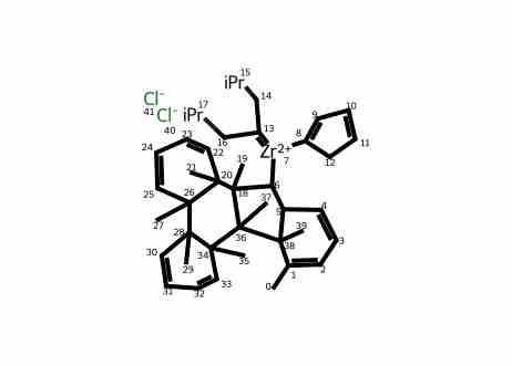 CC1=CC=CC2[CH]([Zr+2]([C]3=CC=CC3)=[C](CC(C)C)CC(C)C)C3(C)C4(C)C=CC=CC4(C)C4(C)C=CC=CC4(C)C3(C)C12C.[Cl-].[Cl-]